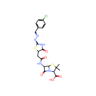 CC1(C)SC2C(NC(=O)CC3SC(=NN=Cc4ccc(Cl)cc4)NC3=O)C(=O)N2C1C(=O)O